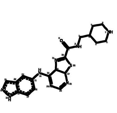 O=C(NCC1CCNCC1)C1=NC2C(Nc3ccc4[nH]ncc4c3)=NC=NC2S1